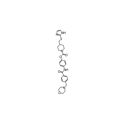 O=C(Nc1ccc(OC(=O)N2CCC(CSc3ncc[nH]3)CC2)cc1)c1ccc(CN2CCOCC2)cc1